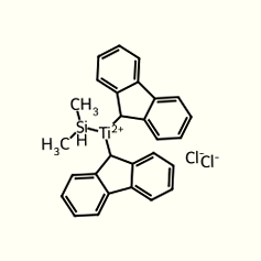 C[SiH](C)[Ti+2]([CH]1c2ccccc2-c2ccccc21)[CH]1c2ccccc2-c2ccccc21.[Cl-].[Cl-]